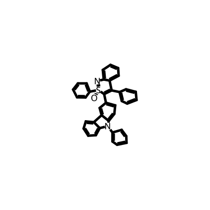 O=S1(c2ccccc2)=Nc2ccccc2C(c2ccccc2)=C1c1ccc2c(c1)c1ccccc1n2-c1ccccc1